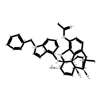 CC(=O)Oc1ccc2c3c1O[C@@]1(Sc4cccc5c4ccn5Cc4ccccc4)[C@@H](O)C=C[C@H]4[C@@H](C2)N(C)CC[C@@]341